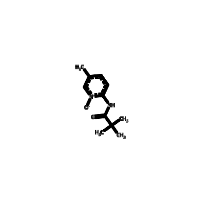 Cc1ccc(NC(=O)C(C)(C)C)[n+]([O-])c1